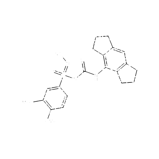 COc1ccc(S(=O)(=NC#N)NC(=O)Nc2c3c(cc4c2CCC4)CCC3)cc1OC